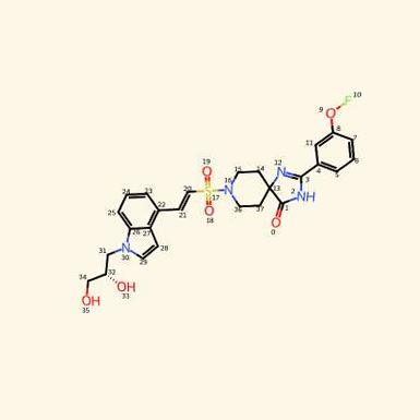 O=C1NC(c2cccc(OF)c2)=NC12CCN(S(=O)(=O)/C=C/c1cccc3c1ccn3C[C@H](O)CO)CC2